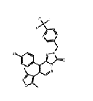 Cc1noc(C)c1-c1cnn2c(=O)n(Cc3ccc(C(F)(F)F)nc3)nc2c1-c1ccc(Cl)cc1